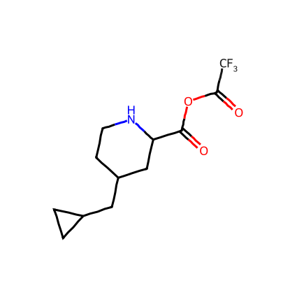 O=C(OC(=O)C(F)(F)F)C1CC(CC2CC2)CCN1